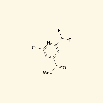 COC(=O)c1cc(Cl)nc(C(F)F)c1